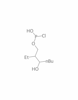 CCCCC(O)C(CC)COP(O)Cl